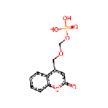 O=c1cc(COCOP(=O)(O)O)c2ccccc2o1